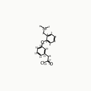 CN(C)Cc1ccccc1Oc1cccc(CC(=O)Cl)c1